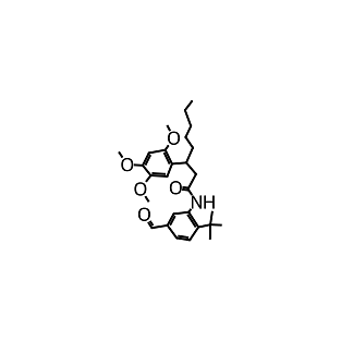 CCCCCC(CC(=O)Nc1cc(C=O)ccc1C(C)(C)C)c1cc(OC)c(OC)cc1OC